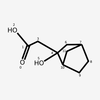 O=C(O)CC1(O)CC2CCC1C2